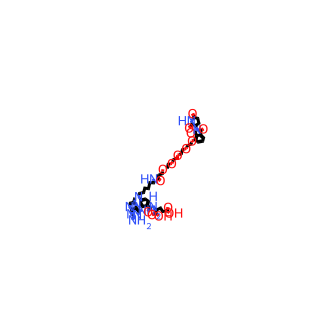 Nc1nc(N)c2nc(CN(CCCCCCNC(=O)CCOCCOCCOCCOCCOc3cccc4c3C(=O)N(C3CCC(=O)NC3=O)C4=O)c3ccc(C(=O)NC(CCC(=O)O)C(=O)O)cc3)cnc2n1